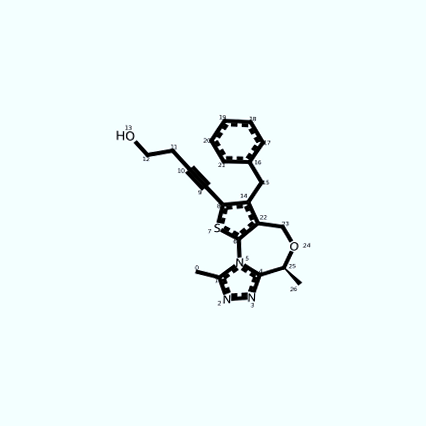 Cc1nnc2n1-c1sc(C#CCCO)c(Cc3ccccc3)c1CO[C@H]2C